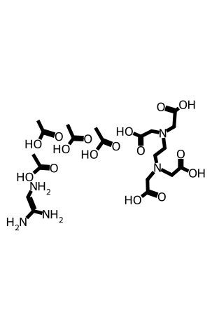 CC(=O)O.CC(=O)O.CC(=O)O.CC(=O)O.NC=C(N)N.O=C(O)CN(CCN(CC(=O)O)CC(=O)O)CC(=O)O